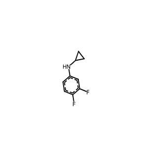 Fc1ccc(NC2CC2)cc1F